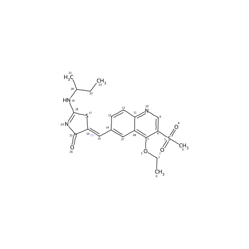 CCOc1c(S(C)(=O)=O)cnc2ccc(/C=C3\SC(NC(C)CC)=NC3=O)cc12